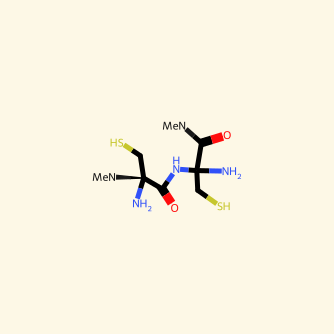 CNC(=O)C(N)(CS)NC(=O)[C@](N)(CS)NC